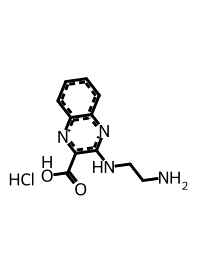 Cl.NCCNc1nc2ccccc2nc1C(=O)O